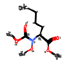 CC(C)(C)OC(=O)[C@H](CCCC=O)N(OC(C)(C)C)C(=O)OC(C)(C)C